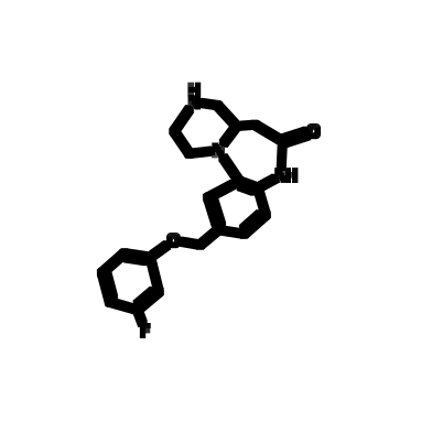 O=C1CC2CNCCN2c2cc(COc3cccc(F)c3)ccc2N1